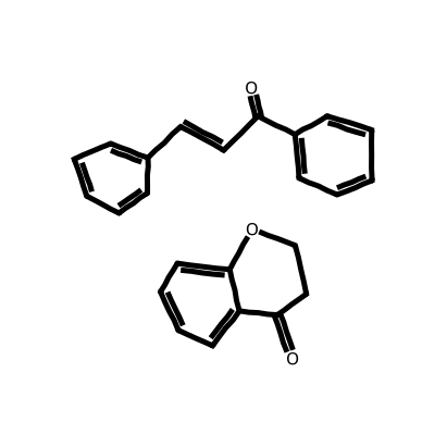 O=C(C=Cc1ccccc1)c1ccccc1.O=C1CCOc2ccccc21